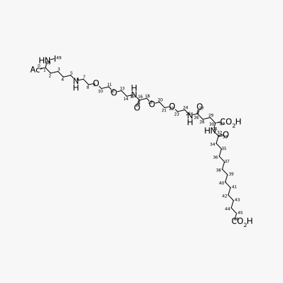 CC(=O)[C@H](CCCCNCCOCCOCCNC(=O)COCCOCCNC(=O)CC[C@H](NC(=O)CCCCCCCCCCCCC(=O)O)C(=O)O)NI